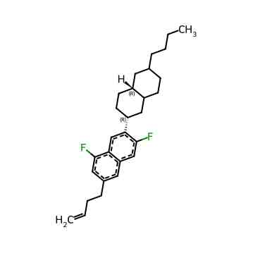 C=CCCc1cc(F)c2cc([C@@H]3CC[C@@H]4CC(CCCC)CCC4C3)c(F)cc2c1